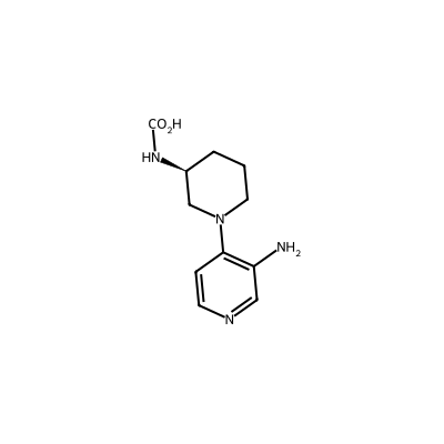 Nc1cnccc1N1CCC[C@H](NC(=O)O)C1